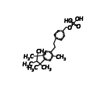 Cc1cc2c(cc1CCc1ccc(COP(=O)(O)O)cc1)C(C)(C)C(C)C2(C)C